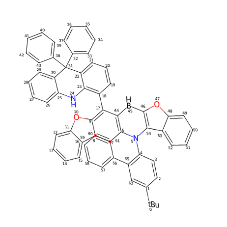 CC(C)(C)c1ccc(N2c3cc4c(oc5ccccc54)c(-c4cccc5c4Nc4ccccc4C5(c4ccccc4)c4ccccc4)c3Bc3oc4ccccc4c32)c(-c2ccccc2)c1